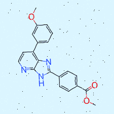 COC(=O)c1ccc(-c2nc3c(-c4cccc(OC)c4)ccnc3[nH]2)cc1